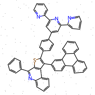 c1ccc(-c2nc3ccccc3c3c(-c4ccc5c6ccccc6c6ccccc6c5c4)c(-c4ccc(-c5cc(-c6ccccn6)nc(-c6ccccn6)c5)cc4)sc23)cc1